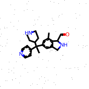 Cc1cc(C(C)(c2ccncc2)C2CCNCC2)cc2c1C(C=O)NC2